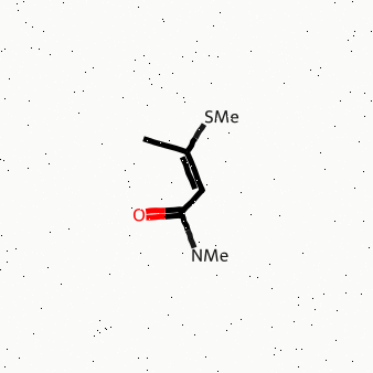 CNC(=O)C=C(C)SC